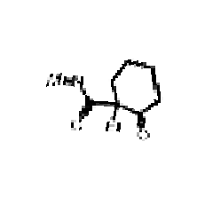 CCC1(C(=O)NC)CCCCC1=O